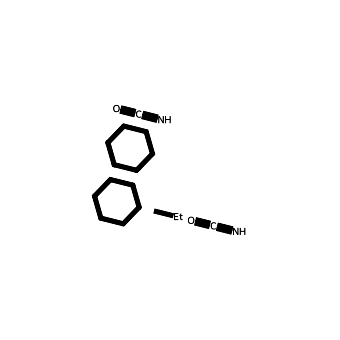 C1CCCCC1.C1CCCCC1.CCC.N=C=O.N=C=O